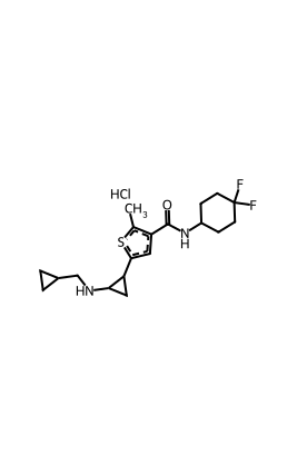 Cc1sc(C2CC2NCC2CC2)cc1C(=O)NC1CCC(F)(F)CC1.Cl